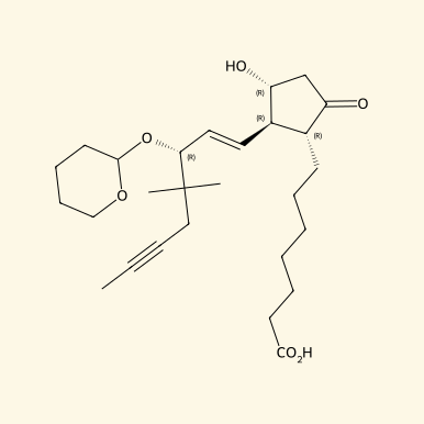 CC#CCC(C)(C)[C@@H](C=C[C@H]1[C@H](O)CC(=O)[C@@H]1CCCCCCC(=O)O)OC1CCCCO1